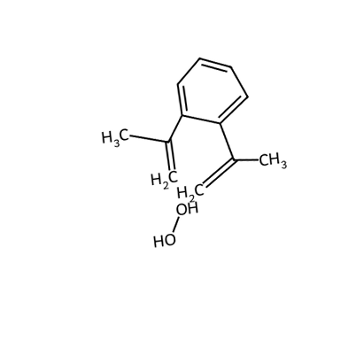 C=C(C)c1ccccc1C(=C)C.OO